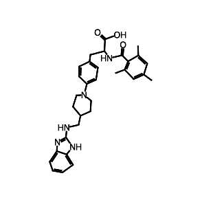 Cc1cc(C)c(C(=O)NC(Cc2ccc(N3CCC(CNc4nc5ccccc5[nH]4)CC3)cc2)C(=O)O)c(C)c1